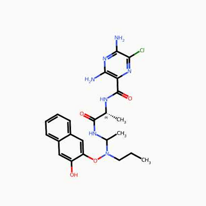 CCCN(Oc1cc2ccccc2cc1O)C(C)NC(=O)[C@@H](C)NC(=O)c1nc(Cl)c(N)nc1N